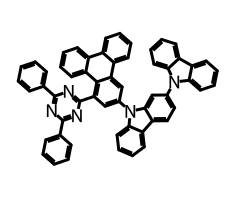 c1ccc(-c2nc(-c3ccccc3)nc(-c3cc(-n4c5ccccc5c5ccc(-n6c7ccccc7c7ccccc76)cc54)cc4c5ccccc5c5ccccc5c34)n2)cc1